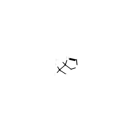 OC1(C(F)(F)F)CS[C]=N1